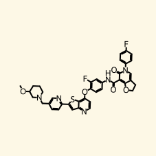 COC1CCCN(Cc2ccc(-c3cc4nccc(Oc5ccc(NC(=O)c6c7c(cn(-c8ccc(F)cc8)c6=O)CCO7)cc5F)c4s3)nc2)C1